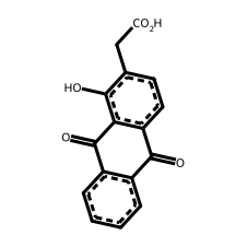 O=C(O)Cc1ccc2c(c1O)C(=O)c1ccccc1C2=O